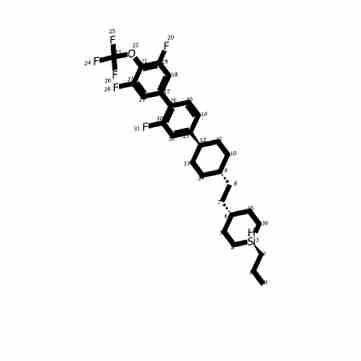 CCC[Si@H]1CC[C@H](CC[C@H]2CC[C@H](c3ccc(-c4cc(F)c(OC(F)(F)F)c(F)c4)c(F)c3)CC2)CC1